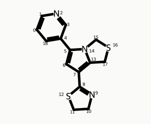 c1cncc(-c2cc(C3=NCCS3)c3n2CSC3)c1